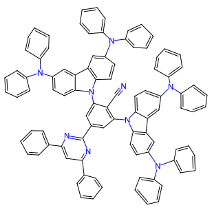 N#Cc1c(-n2c3ccc(N(c4ccccc4)c4ccccc4)cc3c3cc(N(c4ccccc4)c4ccccc4)ccc32)cc(-c2nc(-c3ccccc3)cc(-c3ccccc3)n2)cc1-n1c2ccc(N(c3ccccc3)c3ccccc3)cc2c2cc(N(c3ccccc3)c3ccccc3)ccc21